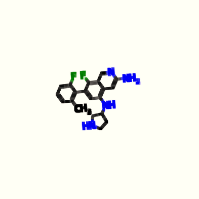 Cc1cccc(F)c1-c1cc(NC2CCNC2)c2cc(N)ncc2c1F